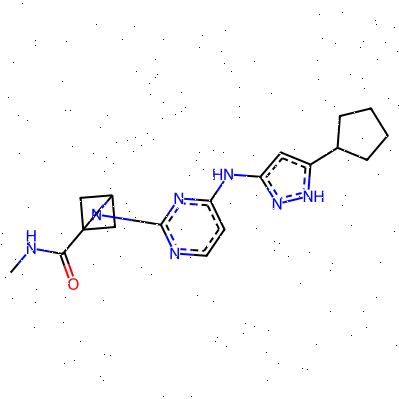 CNC(=O)C12CC(C1)N(c1nccc(Nc3cc(C4CCCC4)[nH]n3)n1)C2